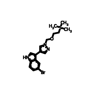 CS(C)(C)CCOCn1cc(-c2c[nH]c3ccc(Br)cc23)cn1